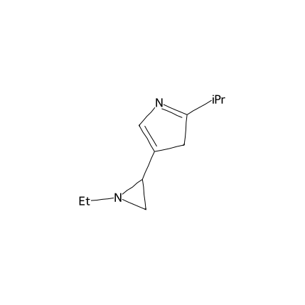 CCN1CC1C1=CN=C(C(C)C)C1